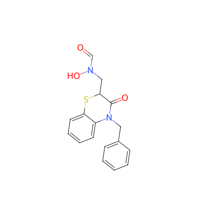 O=CN(O)CC1Sc2ccccc2N(Cc2ccccc2)C1=O